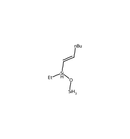 CCCCC=C[SiH](CC)O[SiH3]